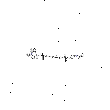 N/C1=C(\N)c2ccccc2N(C(=O)CCC(=O)NCCOCCOCCOCCOCCC(=O)NCCN2CCN(C/C=C/C(=O)N3CCCCC3)CC2)Cc2ccccc21